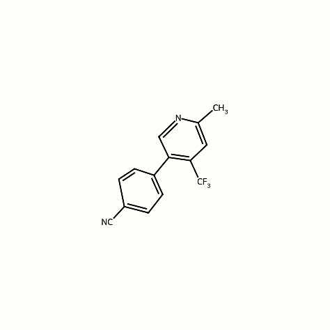 Cc1cc(C(F)(F)F)c(-c2ccc(C#N)cc2)cn1